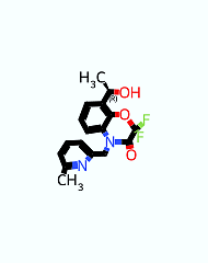 Cc1cccc(CN2C(=O)C(F)(F)Oc3c([C@@H](C)O)cccc32)n1